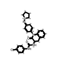 O=C(Nc1ccc(Cl)cc1)NC1Cc2ccccc2N(C2=CCC(=NN3CCCC3)C=C2)C1=O